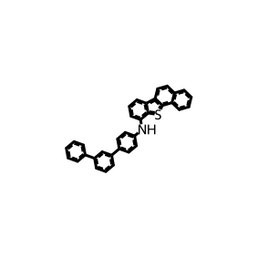 c1ccc(-c2cccc(-c3ccc(Nc4cccc5c4sc4c6ccccc6ccc54)cc3)c2)cc1